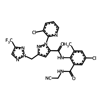 Cc1cc(Cl)cc(C(=O)NCC#N)c1NC(=O)c1cc(Cn2ncc(C(F)(F)F)n2)nn1-c1ncccc1Cl